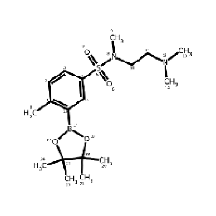 Cc1ccc(S(=O)(=O)N(C)CCN(C)C)cc1B1OC(C)(C)C(C)(C)O1